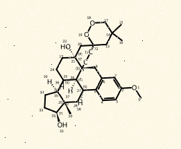 COc1ccc2c(c1)C[C@]13CCC4(CC(C)(C)COO4)C[C@]1(O)CC[C@@H]1[C@@H]3[C@@H]2C[C@]2(C)[C@@H](O)CC[C@@H]12